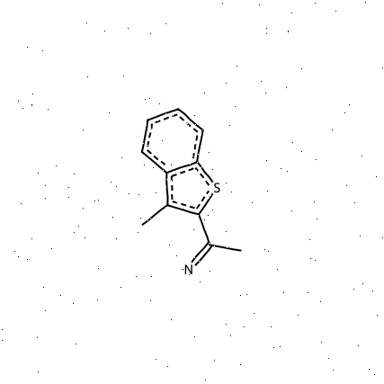 CC(=[N])c1sc2ccccc2c1C